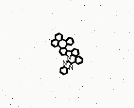 c1ccc(-c2nc3ccccc3nc2-n2c3ccccc3c3c4c(ccc32)-c2cccc3cccc(c23)-c2ccccc2-4)cc1